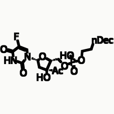 CCCCCCCCCCCCOP(=O)(O)OC[C@H]1O[C@@H](n2cc(F)c(=O)[nH]c2=O)C[C@@]1(O)C(C)=O